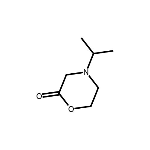 CC(C)N1CCOC(=O)C1